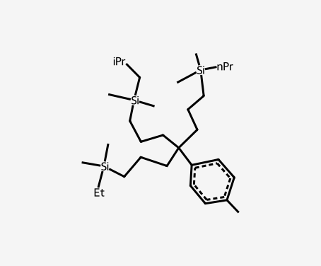 CCC[Si](C)(C)CCCC(CCC[Si](C)(C)CC)(CCC[Si](C)(C)CC(C)C)c1ccc(C)cc1